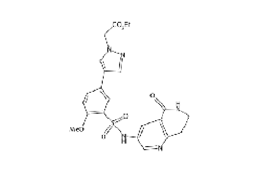 CCOC(=O)Cn1cc(-c2ccc(OC)c(S(=O)(=O)Nc3cnc4c(c3)C(=O)NCC4)c2)cn1